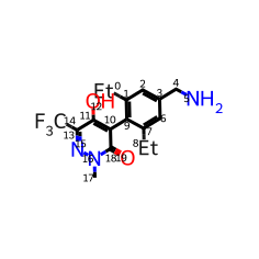 CCc1cc(CN)cc(CC)c1-c1c(O)c(C(F)(F)F)nn(C)c1=O